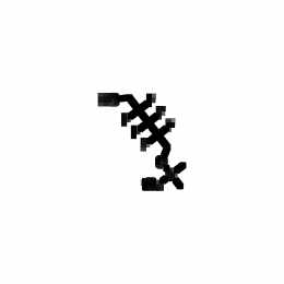 CC(C)(C)[Si](C)(C)OCC(F)(F)C(F)(F)C(F)(F)CO